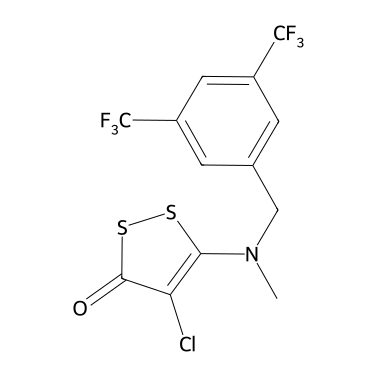 CN(Cc1cc(C(F)(F)F)cc(C(F)(F)F)c1)c1ssc(=O)c1Cl